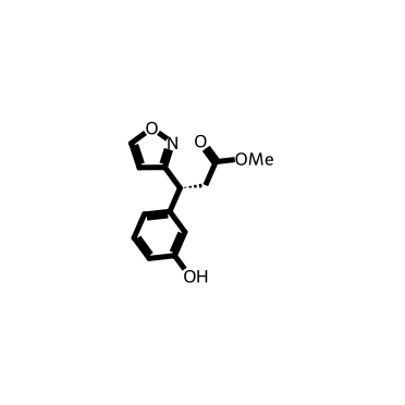 COC(=O)C[C@H](c1cccc(O)c1)c1ccon1